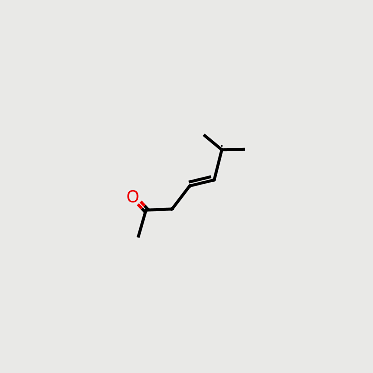 C[C](C)C=CCC(C)=O